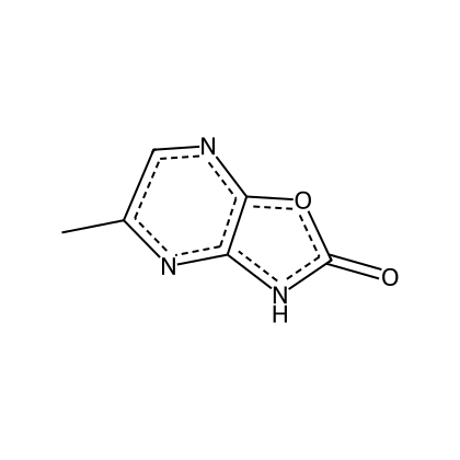 Cc1cnc2oc(=O)[nH]c2n1